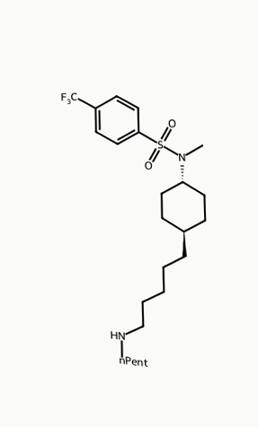 CCCCCNCCCCC[C@H]1CC[C@H](N(C)S(=O)(=O)c2ccc(C(F)(F)F)cc2)CC1